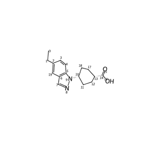 CCc1ccc2c(cnn2[C@H]2CC[C@@H](C(=O)O)CC2)c1